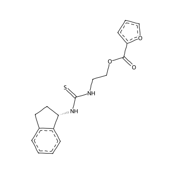 O=C(OCCNC(=S)N[C@H]1CCc2ccccc21)c1ccco1